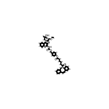 CCOCc1nc2c(NC(=O)OCc3ccc(OC(=O)CCCCC(=O)N4Cc5ccccc5C#Cc5ccccc54)cc3)nc3ccccc3c2n1CC(C)(C)O